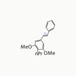 CCCc1c(OC)cc(/C=C/c2ccccc2)cc1OC